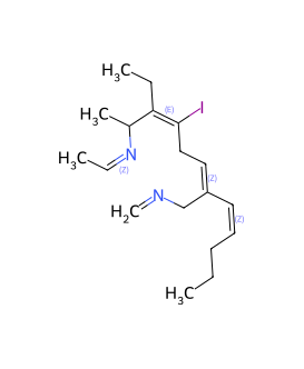 C=NCC(/C=C\CCC)=C\C/C(I)=C(/CC)C(C)/N=C\C